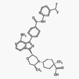 C[C@H]1CO[C@@H](c2nc(-c3ccc(C(=O)Nc4cc(C(F)F)ccn4)cc3)c3c(N)nccn23)CN1[C@H]1CC[C@](C)(C(=O)O)CC1